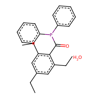 CCc1cc(CC)c(C(=O)P(c2ccccc2)c2ccccc2)c(CC)c1.O